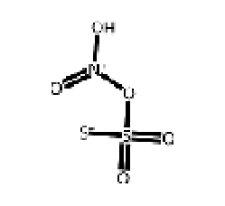 O=[N+](O)OS(=O)(=O)[S-]